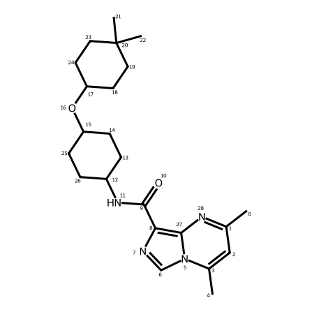 Cc1cc(C)n2cnc(C(=O)NC3CCC(OC4CCC(C)(C)CC4)CC3)c2n1